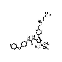 COCCNCCc1ccc(-n2nc(C(C)(C)C)cc2NC(=O)Nc2ccc(Oc3ccncc3)cc2)cc1